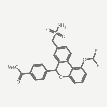 COC(=O)c1ccc(C2Oc3cccc(OC(F)F)c3-c3ccc(CS(N)(=O)=O)cc32)cc1